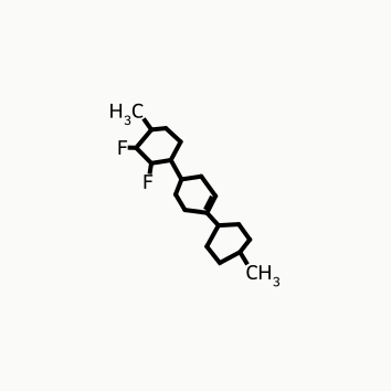 CC1CCC(C2=CCC(C3CCC(C)C(F)C3F)CC2)CC1